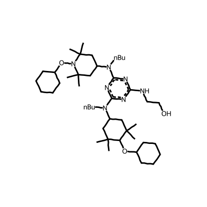 CCCCN(c1nc(NCCO)nc(N(CCCC)C2CC(C)(C)N(OC3CCCCC3)C(C)(C)C2)n1)C1CC(C)(C)C(OC2CCCCC2)C(C)(C)C1